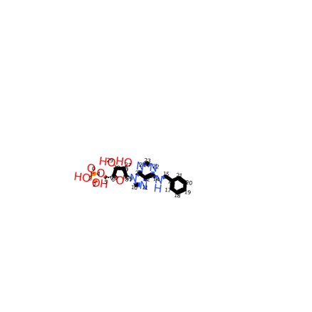 O=P(O)(O)OC[C@H]1O[C@@H](n2cnc3c(NCc4ccccc4)ncnc32)[C@@H](O)C1O